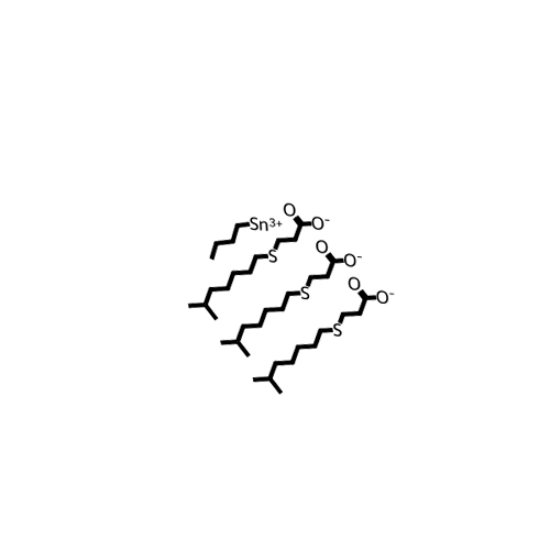 CC(C)CCCCCSCCC(=O)[O-].CC(C)CCCCCSCCC(=O)[O-].CC(C)CCCCCSCCC(=O)[O-].CCC[CH2][Sn+3]